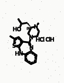 Cc1cc2c(s1)Nc1ccccc1N=C2N1CCN(C)[C@@H](CC(C)O)C1.Cl.Cl